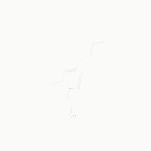 CCc1nc(OCC(F)F)ccc1CCNC